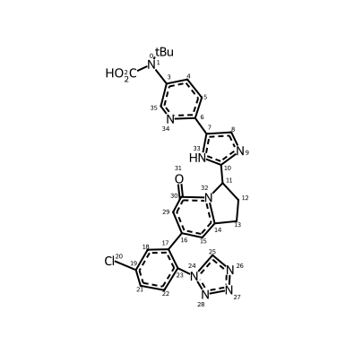 CC(C)(C)N(C(=O)O)c1ccc(-c2cnc(C3CCc4cc(-c5cc(Cl)ccc5-n5cnnn5)cc(=O)n43)[nH]2)nc1